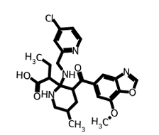 CCC(C(=O)O)C1(NCc2cc(Cl)ccn2)NCC(C)CC1C(=O)c1cc(OC)c2ocnc2c1